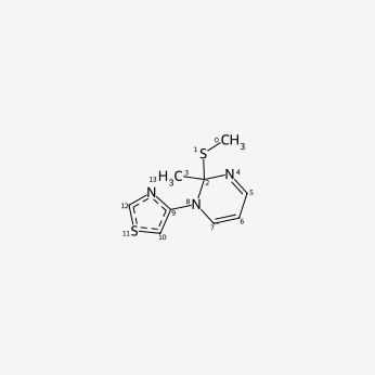 CSC1(C)N=CC=[C]N1c1cscn1